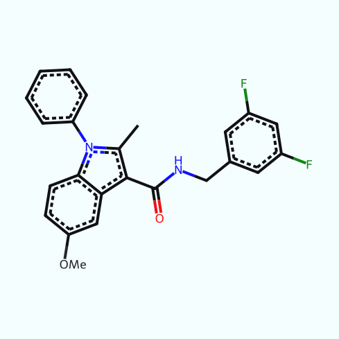 COc1ccc2c(c1)c(C(=O)NCc1cc(F)cc(F)c1)c(C)n2-c1ccccc1